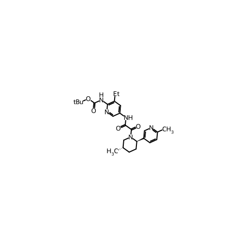 CCc1cc(NC(=O)C(=O)N2C[C@@H](C)CC[C@@H]2c2ccc(C)nc2)cnc1NC(=O)OC(C)(C)C